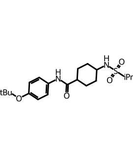 CC(C)S(=O)(=O)NC1CCC(C(=O)Nc2ccc(OC(C)(C)C)cc2)CC1